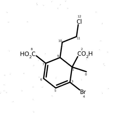 CC1(C(=O)O)C(Br)=CC=C(C(=O)O)C1CCCl